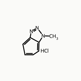 Cl.Cn1nnc2ccccc21